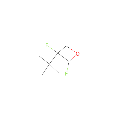 CC(C)(C)C1(F)COC1F